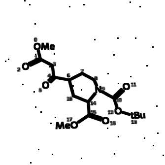 COC(=O)CC(=O)C1CCN(C(=O)OC(C)(C)C)C(C(=O)OC)C1